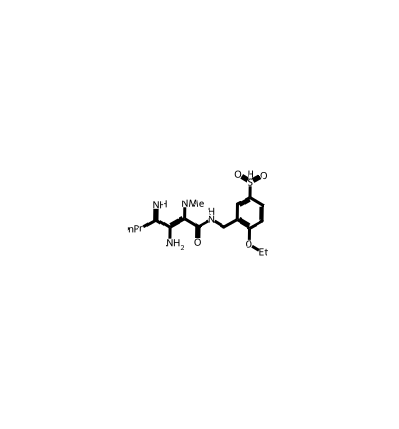 CCCC(=N)/C(N)=C(\NC)C(=O)NCc1cc([SH](=O)=O)ccc1OCC